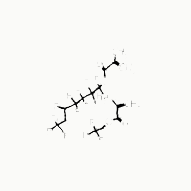 C=C(C)C(=O)OC(F)(F)C(F)(F)C(F)(F)C(F)(F)C(F)CC(F)(F)F.C=C(C)C(=O)OCC(F)(F)F